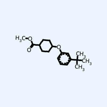 COC(=O)C1CCC(Oc2cccc(C(C)(C)C)c2)CC1